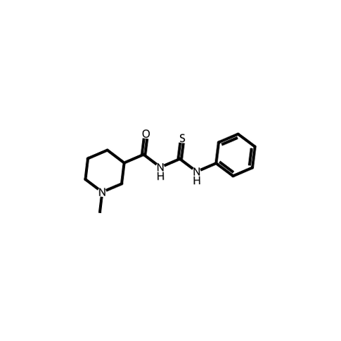 CN1CCCC(C(=O)NC(=S)Nc2ccccc2)C1